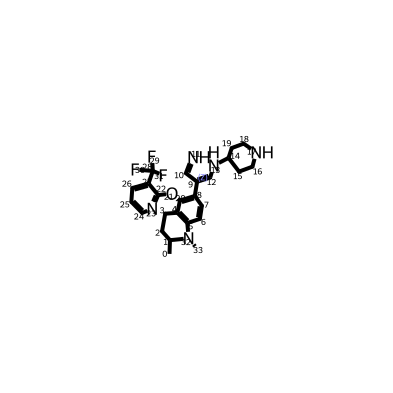 CC1CCc2c(ccc(/C(C=N)=C/NC3CCNCC3)c2Oc2ncccc2C(F)(F)F)N1C